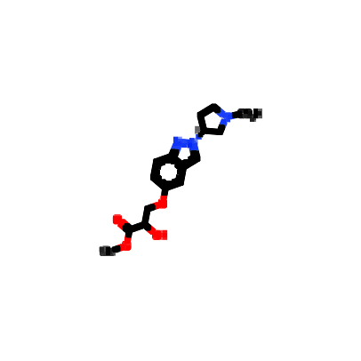 CC(C)(C)OC(=O)C(O)COc1ccc2nn([C@@H]3CCN(C(=O)O)C3)cc2c1